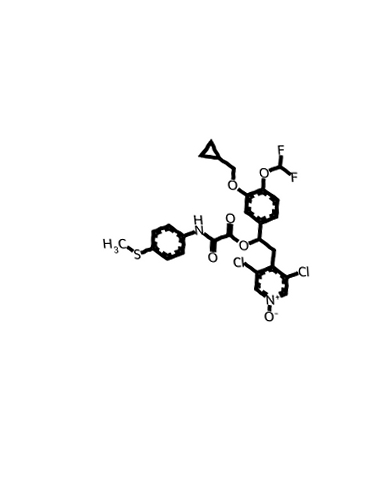 CSc1ccc(NC(=O)C(=O)OC(Cc2c(Cl)c[n+]([O-])cc2Cl)c2ccc(OC(F)F)c(OCC3CC3)c2)cc1